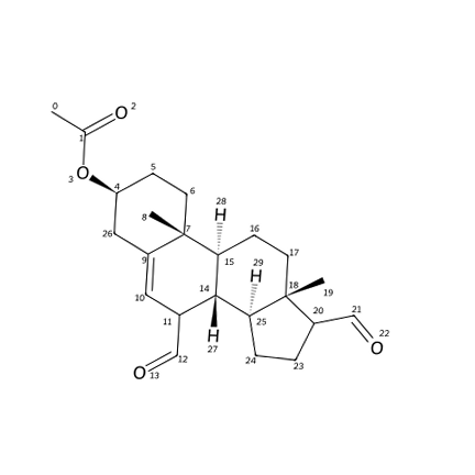 CC(=O)O[C@H]1CC[C@@]2(C)C(=CC(C=O)[C@@H]3[C@@H]2CC[C@]2(C)C(C=O)CC[C@@H]32)C1